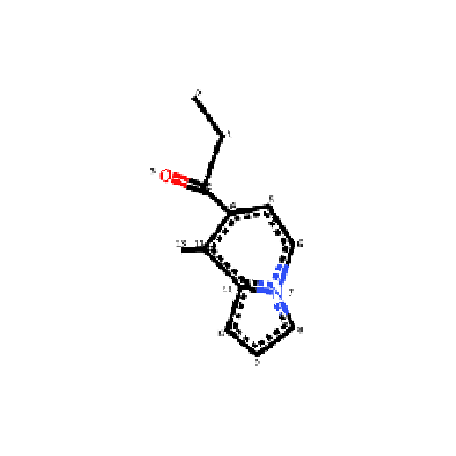 CCC(=O)c1ccn2cccc2c1C